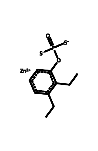 CCc1cccc(OP(=O)([S-])[S-])c1CC.[Zn+2]